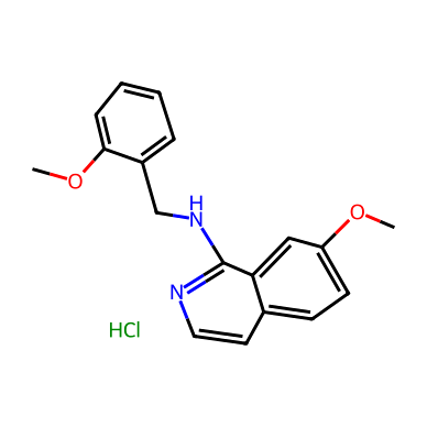 COc1ccc2ccnc(NCc3ccccc3OC)c2c1.Cl